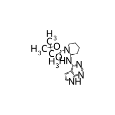 CC(C)(C)OC(=O)N1CCCCC1Nc1ncnc2[nH]ccc12